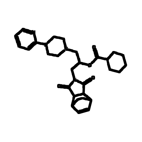 O=C(OC(CN1CCN(c2ccccn2)CC1)CN1C(=O)C2C3C=CC(CC3)C2C1=O)C1CCCCC1